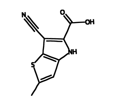 Cc1cc2[nH]c(C(=O)O)c(C#N)c2s1